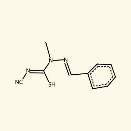 CN(N=Cc1ccccc1)C(S)=NC#N